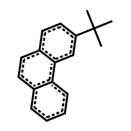 CC(C)(C)c1ccc2ccc3ccccc3c2c1